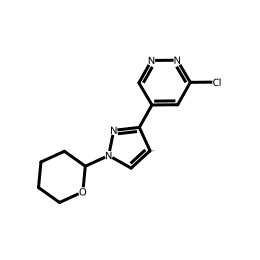 Clc1cc(-c2[c]cn(C3CCCCO3)n2)cnn1